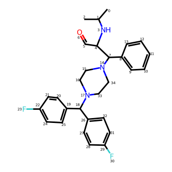 CC(C)NC(C=O)C(c1ccccc1)N1CCN(C(c2ccc(F)cc2)c2ccc(F)cc2)CC1